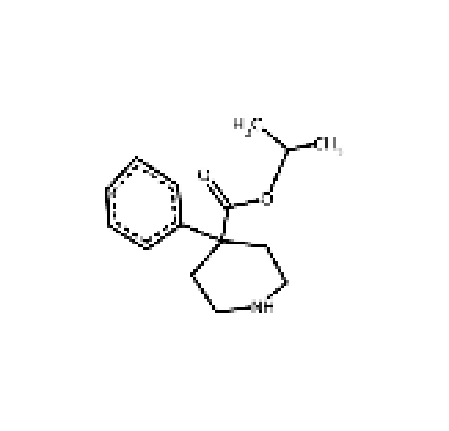 CC(C)OC(=O)C1(c2ccccc2)CCNCC1